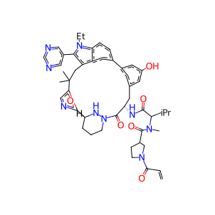 C=CC(=O)N1CCC(C(=O)N(C)C(C(=O)N[C@H]2Cc3cc(O)cc(c3)-c3ccc4c(c3)c(c(-c3cncnc3)n4CC)CC(C)(C)c3cnc(o3)[C@@H]3CCCN(N3)C2=O)C(C)C)C1